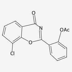 CC(=O)Oc1ccccc1-c1nc(=O)c2cccc(Cl)c2o1